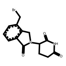 O=C1CCC(N2Cc3c(CBr)cccc3C2=O)C(=O)N1